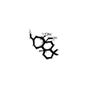 CC1(C)CCC[C@@]2(C)C1CC[C@]1(CO)C2CC=C(C=O)C[C@H]1O